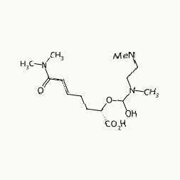 CNCCN(C)C(O)O[C@@H](CC/C=C/C(=O)N(C)C)C(=O)O